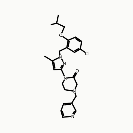 Cc1cc(N2CCN(Cc3cccnc3)CC2=O)nn1Cc1cc(Cl)ccc1OCC(C)C